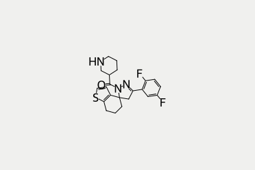 O=C(C1CCCNC1)N1N=C(c2cc(F)ccc2F)CC12CCCc1sccc12